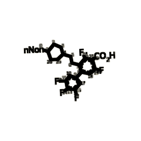 CCCCCCCCCC1CCC(CCc2c(-c3cc(F)c(F)c(F)c3)cc(F)c(C(=O)O)c2F)CC1